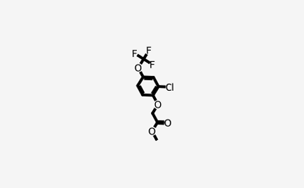 COC(=O)COc1ccc(OC(F)(F)F)cc1Cl